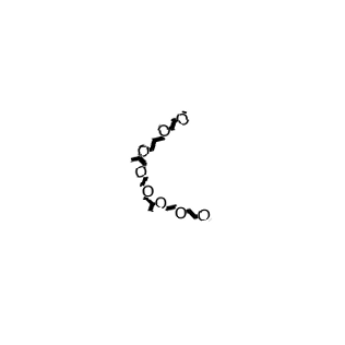 COCCOCCCOC(C)COCCOCC(C)OCCOCCOC